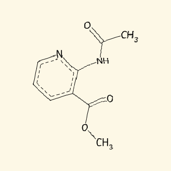 COC(=O)c1cccnc1NC(C)=O